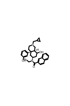 CC(C)CN(C(=O)c1ccc2ccccc2c1)[C@@H]1CC(O)[C@@H]2CN(CC3CC3)CC[C@@]2(c2cccc(O)c2)C1